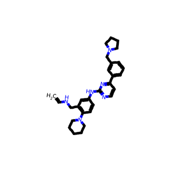 C=CNCc1cc(Nc2nccc(-c3cccc(CN4CCCC4)c3)n2)ccc1N1CCCCC1